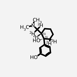 [2H]C([2H])(N(C)C)[C@]1([2H])CCCC([2H])([2H])[C@@]1(O)c1cccc(O)c1